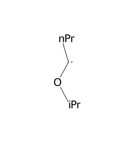 [CH2]CC[CH]OC(C)C